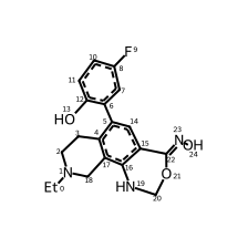 CCN1CCc2c(-c3cc(F)ccc3O)cc3c(c2C1)NCO/C3=N\O